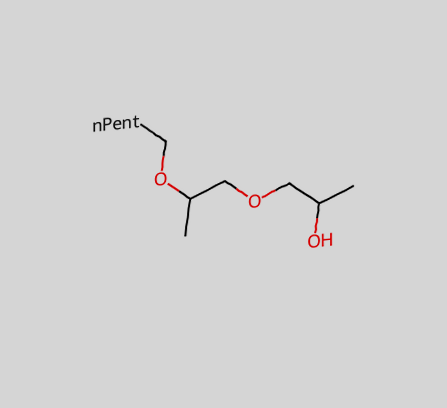 CCCCCCOC(C)COCC(C)O